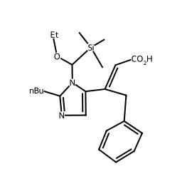 CCCCc1ncc(/C(=C/C(=O)O)Cc2ccccc2)n1C(OCC)[Si](C)(C)C